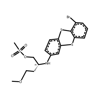 COCC[C@H](COS(C)(=O)=O)Nc1ccc2c(c1)Sc1cccc(Br)c1S2